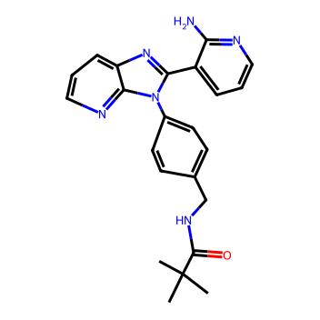 CC(C)(C)C(=O)NCc1ccc(-n2c(-c3cccnc3N)nc3cccnc32)cc1